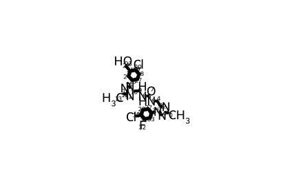 Cc1nc(CNC(=O)NCc2nc(C)nn2-c2ccc(Cl)c(CO)c2)n(-c2ccc(Cl)c(F)c2)n1